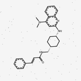 CN(C)c1cc(N[C@H]2CC[C@@H](CNC(=O)C=Cc3ccccc3)CC2)nc2ccccc12